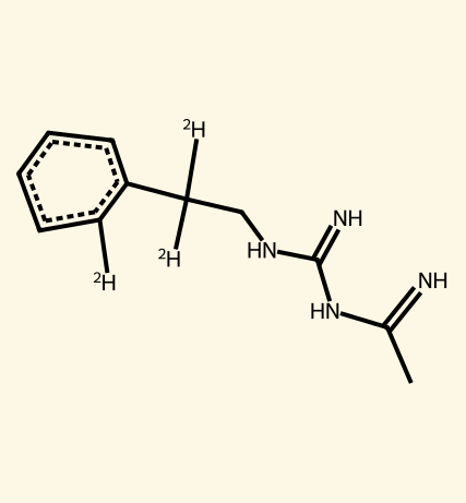 [2H]c1ccccc1C([2H])([2H])CNC(=N)NC(C)=N